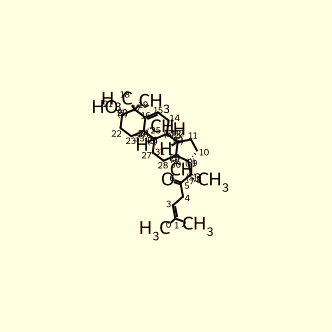 CC(C)=CCC(=O)[C@@H](C)[C@H]1CC[C@H]2[C@@H]3CC=C4C(C)(C)[C@@H](O)CC[C@]4(C)[C@H]3CC[C@]12C